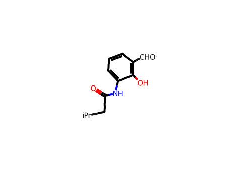 CC(C)CC(=O)Nc1cccc([C]=O)c1O